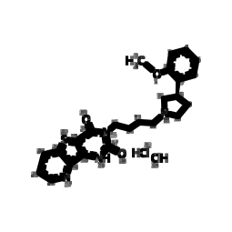 COc1ccccc1[C@H]1CCN(CCCCn2c(=O)[nH]c3c(sc4cccnc43)c2=O)C1.Cl.Cl